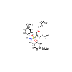 C=CCCC(COCCOC)S(=O)(=O)N(Cc1ccc(OC)cc1)Cc1ccc(OC)cc1